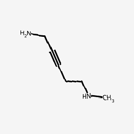 CNCCC#CCN